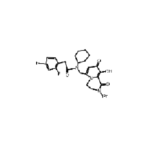 CC(C)N1CCn2c(CN(C(=O)Cc3ccc(F)cc3F)C3CCCCC3)cc(=O)c(O)c2C1=O